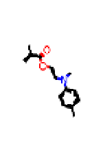 C=C(C)C(=O)OCCN(C)c1ccc(C)cc1